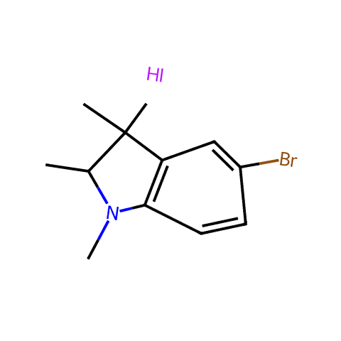 CC1N(C)c2ccc(Br)cc2C1(C)C.I